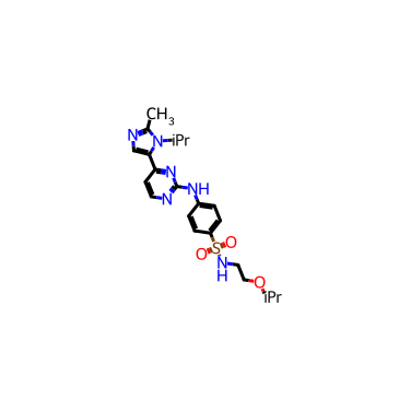 Cc1ncc(-c2ccnc(Nc3ccc(S(=O)(=O)NCCOC(C)C)cc3)n2)n1C(C)C